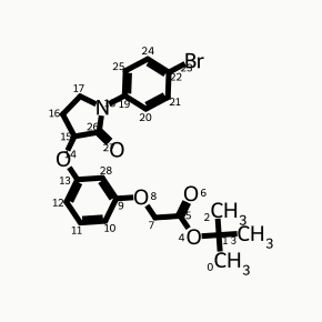 CC(C)(C)OC(=O)COc1cccc(OC2CCN(c3ccc(Br)cc3)C2=O)c1